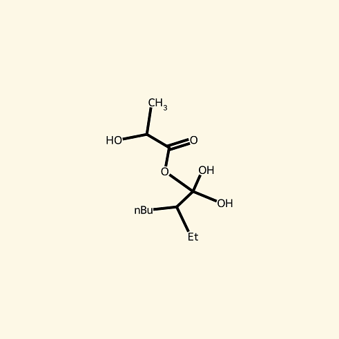 CCCCC(CC)C(O)(O)OC(=O)C(C)O